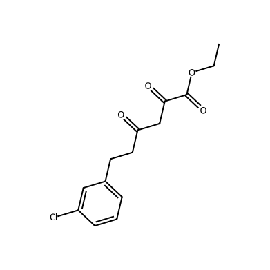 CCOC(=O)C(=O)CC(=O)CCc1cccc(Cl)c1